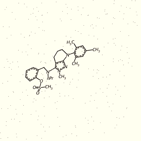 CCCN(Cc1ccccc1OS(C)(=O)=O)c1c2c(nn1C)N(c1c(C)cc(C)cc1C)CCC2